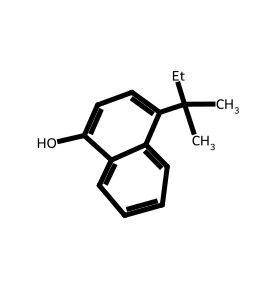 CCC(C)(C)c1ccc(O)c2ccccc12